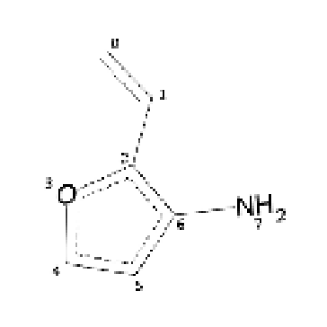 C=Cc1occc1N